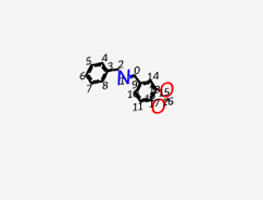 C(=N\Cc1ccccc1)/c1ccc2c(c1)OCO2